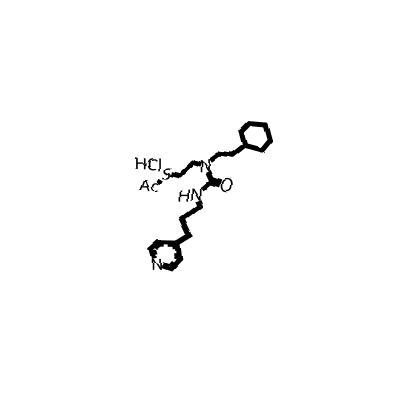 CC(=O)SCCN(CCC1CCCCC1)C(=O)NCCCc1ccncc1.Cl